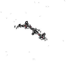 Cc1c2nc3ccccc3oc-2c(-c2ccc(C3CCN(c4c5nc6ccccc6oc-5c(-c5ccc(N6CCC(O)(CCc7c8nc9ccccc9oc-8c(-c8ccc(N9CCN(CC(F)(F)F)C%10(CC%10)C9)cc8)c(=O)c7C)CC6)cc5)c(=O)c4C)CC3)cc2)c(=O)c1C